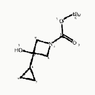 CC(C)(C)OC(=O)N1CC(O)(C2CC2)C1